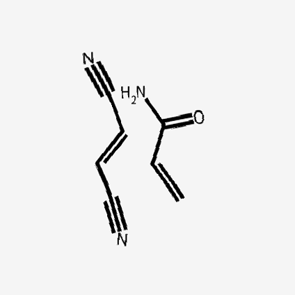 C=CC(N)=O.N#CC=CC#N